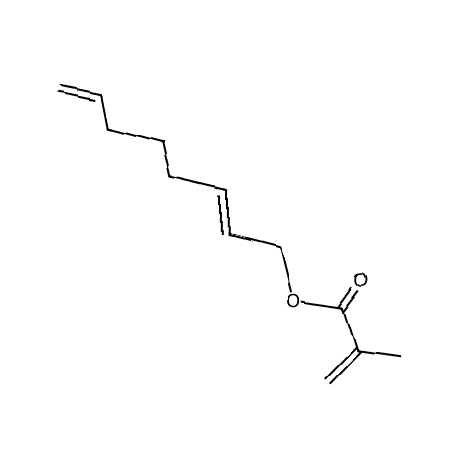 C=CCCCC=CCOC(=O)C(=C)C